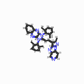 Cc1cccc(C)c1N1C(=C/C=c2/c(C)nn3c2nc2cnccc23)N(c2c(C)cccc2C)c2nc3ccccc3nc21